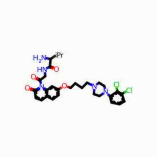 CC(C)C(N)C(=O)NCC(=O)n1c(=O)ccc2ccc(OCCCCN3CCN(c4cccc(Cl)c4Cl)CC3)cc21